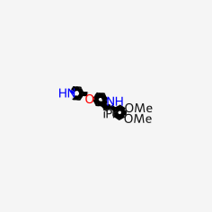 COc1ccc(-c2[nH]c3ccc(OCC4CCNCC4)cc3c2C(C)C)cc1OC